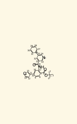 CC(C)(C)OC(=O)c1ccc(-c2ccoc2)cc1NC(=O)c1cncc(-c2ccccc2)c1